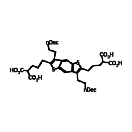 CCCCCCCCCCCCc1c(CCCC(C(=O)O)C(=O)O)sc2cc3c(CCCCCCCCCCCC)c(CCCC(C(=O)O)C(=O)O)sc3cc12